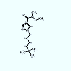 CON(C)C(=O)c1cnn(COCC[Si](C)(C)C)c1